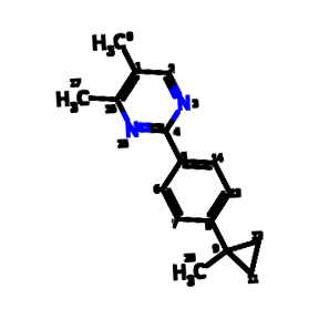 Cc1cnc(-c2ccc(C3(C)CC3)cc2)nc1C